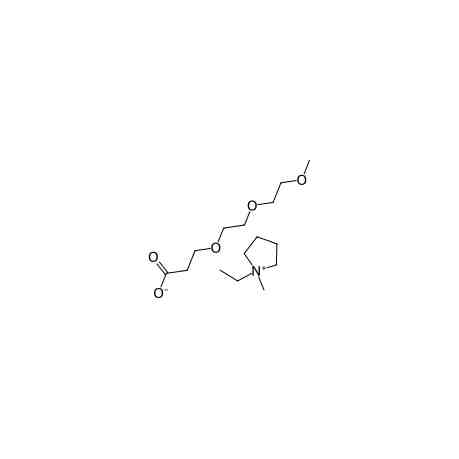 CC[N+]1(C)CCCC1.COCCOCCOCCC(=O)[O-]